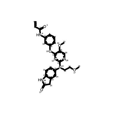 C=CC(=O)Nc1cccc(Oc2nc(N(CCOC)c3ccc4c(c3)CC(=O)N4)ncc2OC)c1